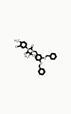 Cc1ccc(N2C(=O)N(Cc3ccc(OCc4ccccc4)c(OCc4ccccc4)c3)C(C)(C)C2=O)cc1Cl